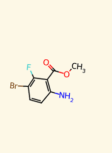 COC(=O)c1c(N)ccc(Br)c1F